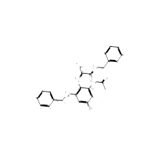 CC(=O)n1/c(=N\Cc2ccccc2)c(N)nc2c(NCc3ccccc3)cc(Cl)cc21